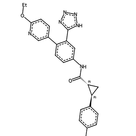 CCOc1ccc(-c2ccc(NC(=O)[C@@H]3C[C@H]3c3ccc(Cl)cc3)cc2-c2nnn[nH]2)cn1